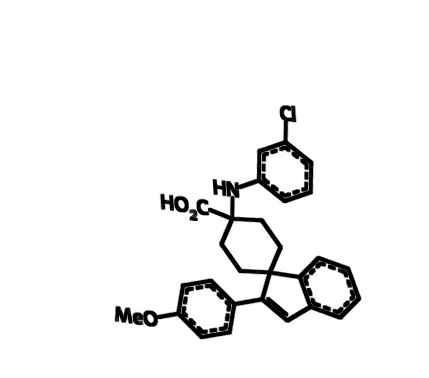 COc1ccc(C2=Cc3ccccc3C23CCC(Nc2cccc(Cl)c2)(C(=O)O)CC3)cc1